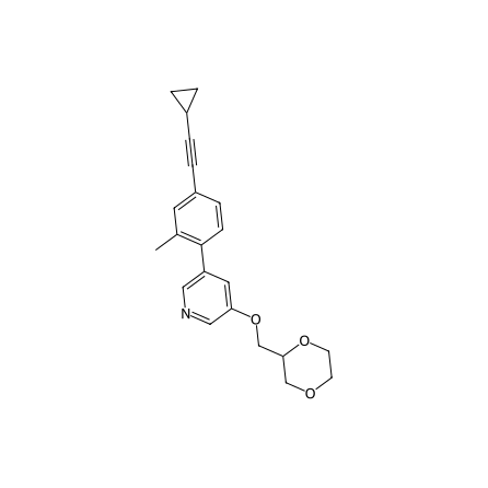 Cc1cc(C#CC2CC2)ccc1-c1cncc(OCC2COCCO2)c1